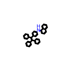 c1ccc(C(=C(c2ccccc2)c2ccc(Nc3cccc4ccccc34)cc2)c2ccccc2)cc1